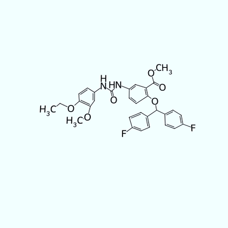 CCOc1ccc(NC(=O)Nc2ccc(OC(c3ccc(F)cc3)c3ccc(F)cc3)c(C(=O)OC)c2)cc1OC